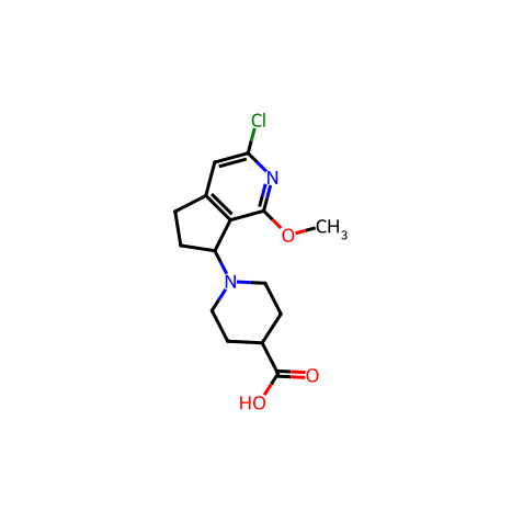 COc1nc(Cl)cc2c1C(N1CCC(C(=O)O)CC1)CC2